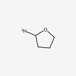 [2H]C1CCCO1